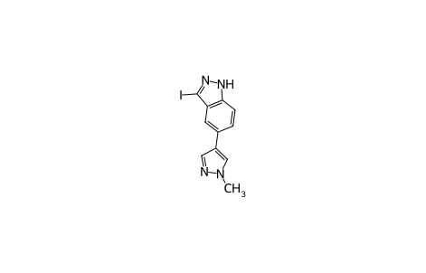 Cn1cc(-c2ccc3[nH]nc(I)c3c2)cn1